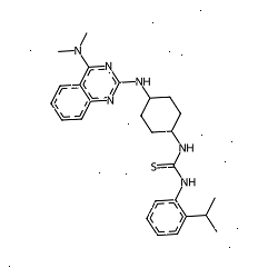 CC(C)c1ccccc1NC(=S)NC1CCC(Nc2nc(N(C)C)c3ccccc3n2)CC1